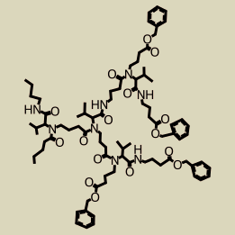 CCCCNC(=O)C(C(C)C)N(CCCC(=O)N(CCCC(=O)N(CCCC(=O)OCc1ccccc1)C(C(=O)NCCCC(=O)OCc1ccccc1)C(C)C)C(C(=O)NCCCC(=O)N(CCCC(=O)OCc1ccccc1)C(C(=O)NCCCC(=O)OCc1ccccc1)C(C)C)C(C)C)C(=O)CCCC